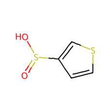 O=S(O)c1ccsc1